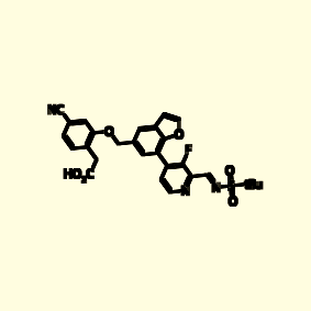 CC(C)(C)S(=O)(=O)N=Cc1nccc(-c2cc(COc3cc(C#N)ccc3CC(=O)O)cc3ccoc23)c1F